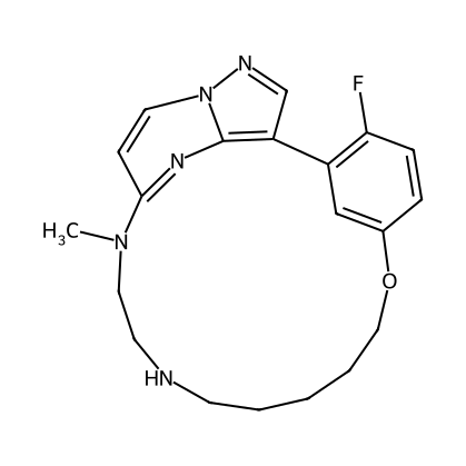 CN1CCNCCCCCOc2ccc(F)c(c2)-c2cnn3ccc1nc23